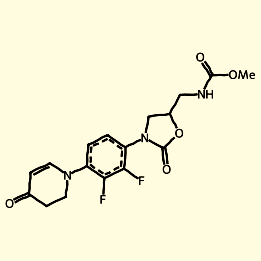 COC(=O)NCC1CN(c2ccc(N3C=CC(=O)CC3)c(F)c2F)C(=O)O1